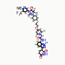 C[C@@H]1C[C@H](OCCC[C@H]2CC[C@H](N3C(=S)N(c4cnc(C#N)c(C(F)(F)F)c4)C(=O)C3(C)C)CC2)C[C@H](C)N1CC(=O)Nc1cccc2c(C3CCC(=O)NC3=O)nn(C)c12